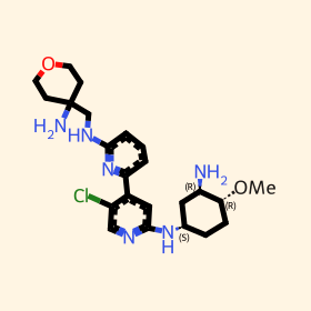 CO[C@@H]1CC[C@H](Nc2cc(-c3cccc(NCC4(N)CCOCC4)n3)c(Cl)cn2)C[C@H]1N